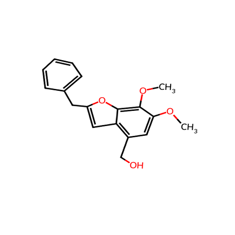 COc1cc(CO)c2cc(Cc3ccccc3)oc2c1OC